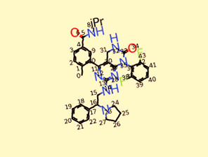 Cc1ccc(C(=O)NC(C)C)cc1-c1nc(NCC(c2ccccc2)N2CCCC2)nc2c1CNC(=O)N2c1c(F)cccc1F